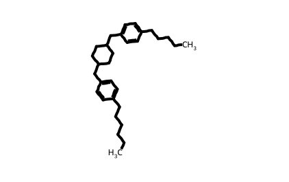 CCCCCCc1ccc(CC2CCC(Cc3ccc(CCCCC)cc3)CC2)cc1